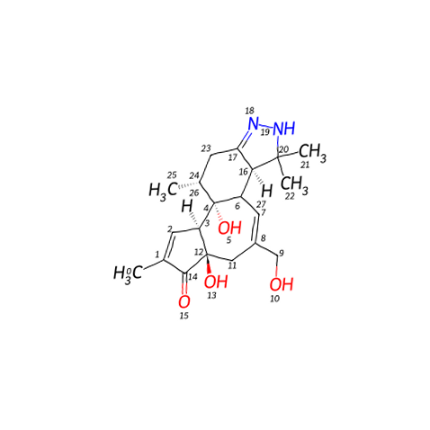 CC1=C[C@H]2[C@]3(O)C(C=C(CO)C[C@]2(O)C1=O)[C@H]1C(=NNC1(C)C)C[C@H]3C